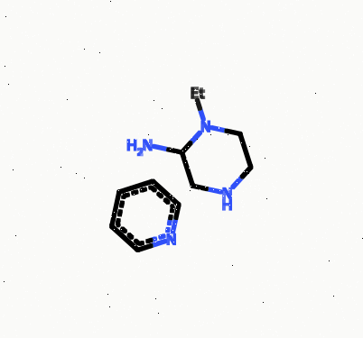 CCN1CCNCC1N.c1ccncc1